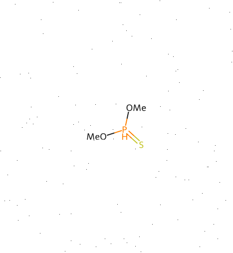 CO[PH](=S)OC